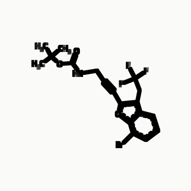 CC(C)(C)OC(=O)NCC#Cc1oc2c(Br)cccc2c1CC(F)(F)F